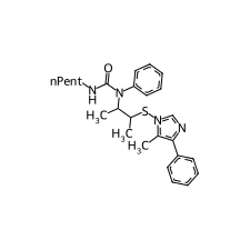 CCCCCNC(=O)N(c1ccccc1)C(C)C(C)Sn1cnc(-c2ccccc2)c1C